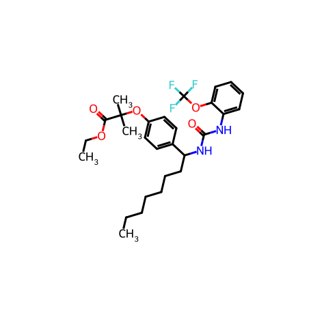 CCCCCCCC(NC(=O)Nc1ccccc1OC(F)(F)F)c1ccc(OC(C)(C)C(=O)OCC)cc1